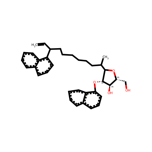 C=CC(CCCCCCC(C)C1O[C@H](CO)[C@@H](O)[C@@H]1Oc1cccc2ccccc12)c1cccc2ccccc12